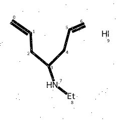 C=CCC(CC=C)NCC.I